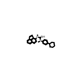 CN(C(=N)N(C)c1ccc2cccc3c2c1C=C3)c1ccc(C2CCCCC2)cc1